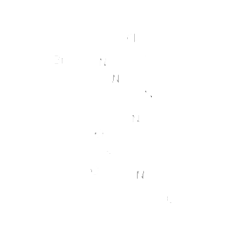 Cc1cc(Cl)nc2c(=O)oc(C3CC(Br)=NN3c3ncccc3Cl)nc12